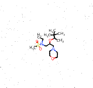 CCN(CC(CN1CCOCC1)OC(C)C(C)(C)C)S(C)(=O)=O